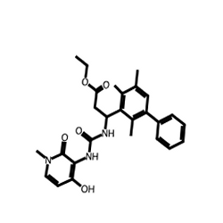 CCOC(=O)CC(NC(=O)Nc1c(O)ccn(C)c1=O)c1c(C)c(C)cc(-c2ccccc2)c1C